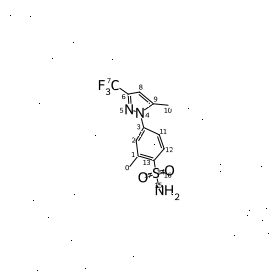 Cc1cc(-n2nc(C(F)(F)F)cc2C)ccc1S(N)(=O)=O